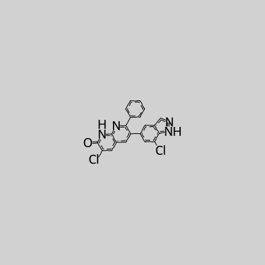 O=c1[nH]c2nc(-c3ccccc3)c(-c3cc(Cl)c4[nH]ncc4c3)cc2cc1Cl